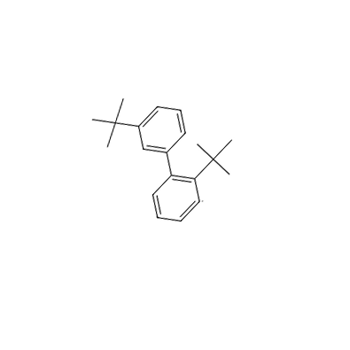 CC(C)(C)c1cccc(-c2ccc[c]c2C(C)(C)C)c1